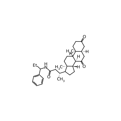 CCC(NC(=O)C[C@@H](C)C1CC[C@H]2[C@@H]3C(=O)C[C@@H]4CC(=O)CC[C@]4(C)[C@H]3CC[C@]12C)c1ccccc1